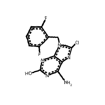 Nc1nc(O)nc2c1nc(Cl)n2Cc1c(F)cccc1F